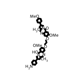 COc1ccc(C2=CN3C(=O)c4cc(OC)c(OCCCOc5cc6c(cc5OC)C(O)N5C=C(c7ccc(N)cc7)C[C@@]5(C)C=N6)cc4N=C[C@]3(C)C2)cc1